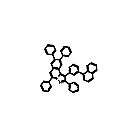 c1ccc(-c2cc3cc(-c4ccccc4)n4nc(-c5ccccc5)c(-c5cccc(-c6cccc7ccccc67)c5)c4c3cc2-c2ccccc2)cc1